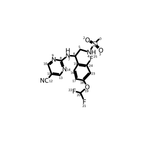 CS(=O)(=O)NCC(Nc1ncc(C#N)cn1)c1ccc(OC(F)F)cc1F